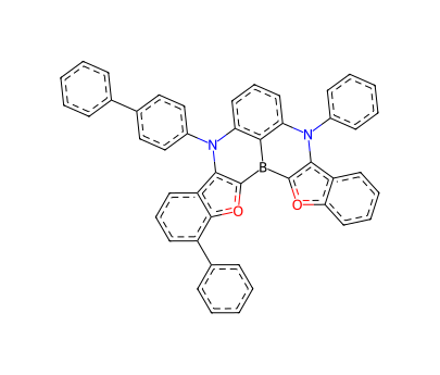 c1ccc(-c2ccc(N3c4cccc5c4B(c4oc6ccccc6c4N5c4ccccc4)c4oc5c(-c6ccccc6)cccc5c43)cc2)cc1